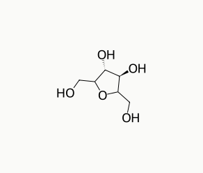 OCC1OC(CO)[C@H](O)[C@H]1O